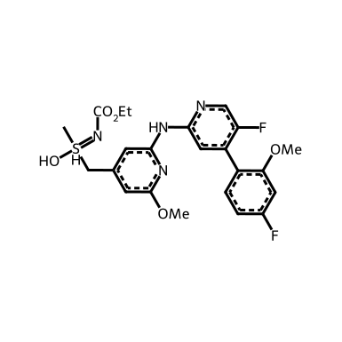 CCOC(=O)N=[SH](C)(O)Cc1cc(Nc2cc(-c3ccc(F)cc3OC)c(F)cn2)nc(OC)c1